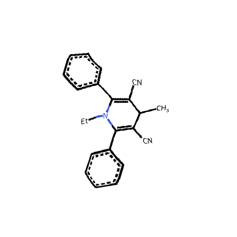 CCN1C(c2ccccc2)=C(C#N)C(C)C(C#N)=C1c1ccccc1